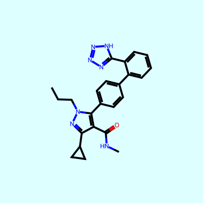 CCCn1nc(C2CC2)c(C(=O)NC)c1-c1ccc(-c2ccccc2-c2nnn[nH]2)cc1